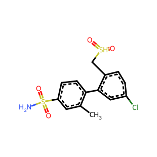 Cc1cc(S(N)(=O)=O)ccc1-c1cc(Cl)ccc1C[SH](=O)=O